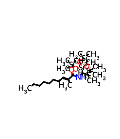 CCCCCCC/C=C(\C)C(=O)NC(CC)[Si](O[Si](C)(C)C)(O[Si](C)(C)C)O[Si](C)(C)C